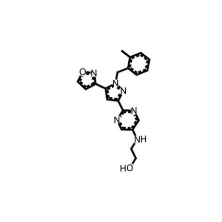 Cc1ccccc1Cn1nc(-c2ncc(NCCO)cn2)cc1-c1ccon1